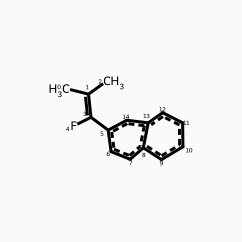 CC(C)=C(F)c1ccc2ccccc2c1